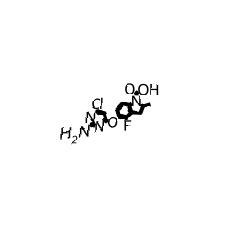 CC1Cc2c(ccc(Oc3cc(Cl)nc(N)n3)c2F)N1C(=O)O